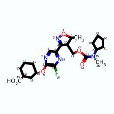 CC1ON=C(c2cnc(O[C@H]3CCC[C@H](C(=O)O)C3)c(F)n2)C1COC(=O)N(C)C1CCCC1